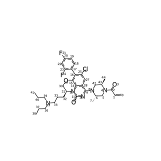 C=CC(=O)N1C[C@H](C)N(c2nc(=O)n3c4c(c(-c5ccc(F)cc5F)c(Cl)cc24)OC[C@@H]3CCCN(CCC)CCC)C[C@H]1C